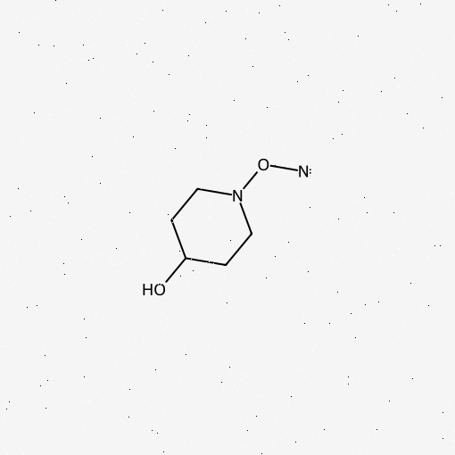 [N]ON1CCC(O)CC1